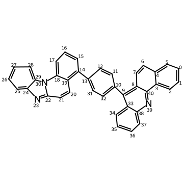 c1ccc2c(c1)ccc1c(-c3ccc(-c4cccc5c4ccc4nc6ccccc6n45)cc3)c3ccccc3nc12